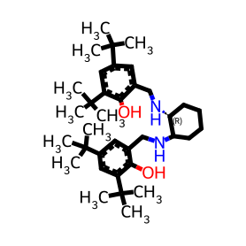 CC(C)(C)c1cc(CNC2CCCC[C@H]2NCc2cc(C(C)(C)C)cc(C(C)(C)C)c2O)c(O)c(C(C)(C)C)c1